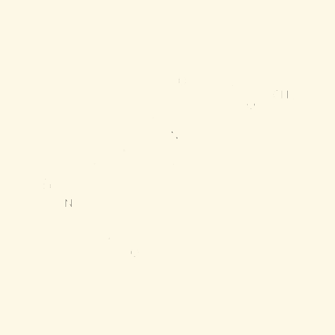 COC[C@@H]1CN(Cc2ccc(N=O)c(C=O)c2)CCO1